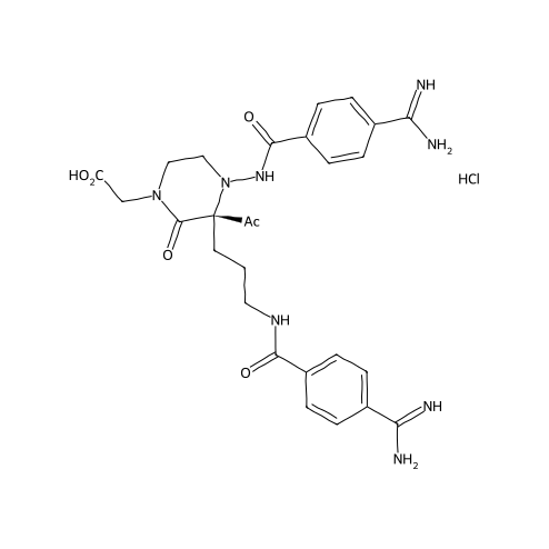 CC(=O)[C@@]1(CCCNC(=O)c2ccc(C(=N)N)cc2)C(=O)N(CC(=O)O)CCN1NC(=O)c1ccc(C(=N)N)cc1.Cl